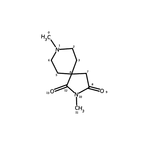 CN1CCC2(CC1)CC(=O)N(C)C2=O